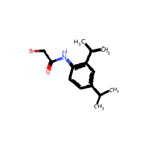 CC(C)c1ccc(NC(=O)CBr)c(C(C)C)c1